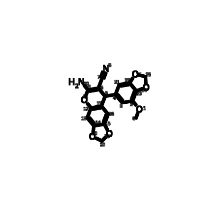 COc1cc(C2C(C#N)=C(N)Oc3cc4c(cc32)OCO4)cc2c1OCO2